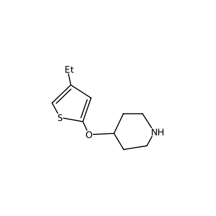 CCc1csc(OC2CCNCC2)c1